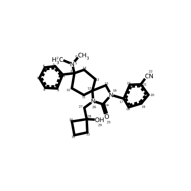 CN(C)C1(c2ccccc2)CCC2(CC1)CN(c1cccc(C#N)c1)C(=O)N2CC1(O)CCC1